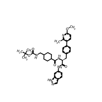 COc1ccc(-c2ccc(C[C@H](NC(=O)C3CCC(CNC(=O)OC(C)(C)C)CC3)C(=O)Nc3ccc4cn[nH]c4c3)cc2)c(C)n1